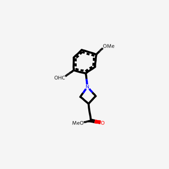 COC(=O)C1CN(c2cc(OC)ccc2C=O)C1